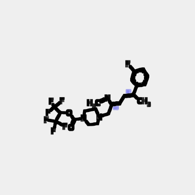 C=N/C(=C\C=C(/C)c1cccc(F)c1)CN1CCN(C(=O)OC(C(F)(F)F)C(F)(F)F)CC1